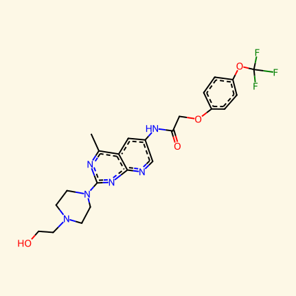 Cc1nc(N2CCN(CCO)CC2)nc2ncc(NC(=O)COc3ccc(OC(F)(F)F)cc3)cc12